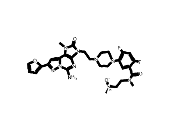 CN(CC[S@@+](C)[O-])C(=O)c1cc(N2CCN(CCn3c(=O)n(C)c4c3nc(N)n3nc(-c5ccco5)cc43)CC2)c(F)cc1F